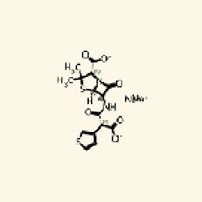 CC1(C)S[C@@H]2[C@H](NC(=O)[C@H](C(=O)[O-])c3ccsc3)C(=O)N2[C@H]1C(=O)[O-].[Na+].[Na+]